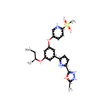 COC[C@H](C)Oc1cc(Oc2ccc(S(C)(=O)=O)nc2)cc(-c2ccc(-c3nnc(C)o3)[nH]2)c1